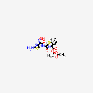 C/C=C\C1=C(C(=O)OC(C)OC(C)=O)N2C(=O)C(NC(=O)/C(=N\O)c3csc(N)n3)[C@@H]2SC1